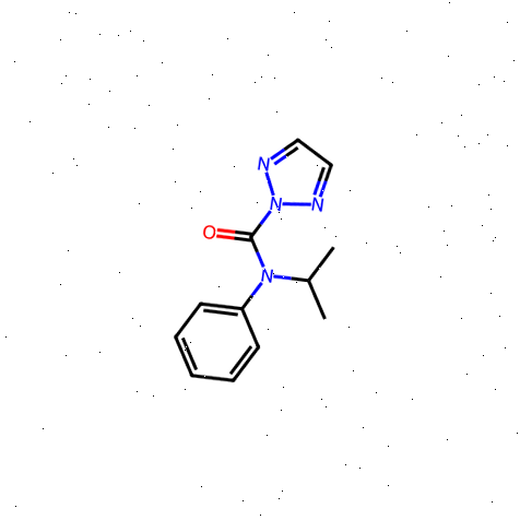 CC(C)N(C(=O)n1nccn1)c1ccccc1